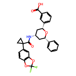 O=C(O)c1cccc([C@H]2C[C@@H](NC(=O)C3(c4ccc5c(c4)OC(F)(F)O5)CC3)C[C@@H](c3ccccc3)O2)c1